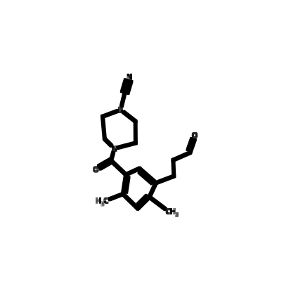 Cc1cc(C)c(C(=O)N2CCB(C#N)CC2)cc1CCC=O